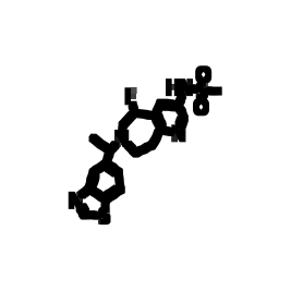 CC(c1ccc2scnc2c1)N1CCc2ncc(NS(C)(=O)=O)cc2C(F)C1